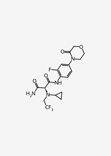 NC(=O)[C@@H](C(=O)Nc1ccc(N2CCOCC2=O)cc1F)N(CC(F)(F)F)C1CC1